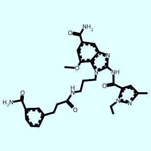 CCn1nc(C)cc1C(=O)Nc1nc2cc(C(N)=O)cc(OC)c2n1CCCNC(=O)CCc1cccc(C(N)=O)c1